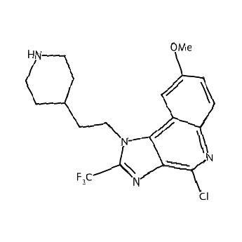 COc1ccc2nc(Cl)c3nc(C(F)(F)F)n(CCC4CCNCC4)c3c2c1